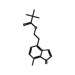 Cc1ccc(CCOC(=O)C(C)(C)C)c2cc[nH]c12